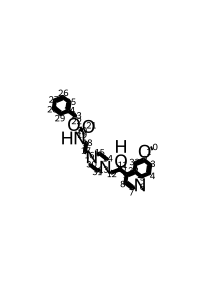 COc1ccc2nccc(C(O)CN3CCN(CCNC(=O)OCc4ccccc4)CC3)c2c1